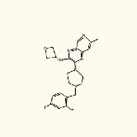 Cc1cc2nc(N3CCN(Cc4ccc(F)cc4F)CC3)c(NC3COC3)nc2cn1